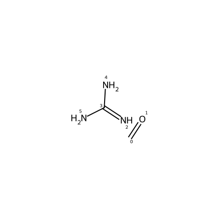 C=O.N=C(N)N